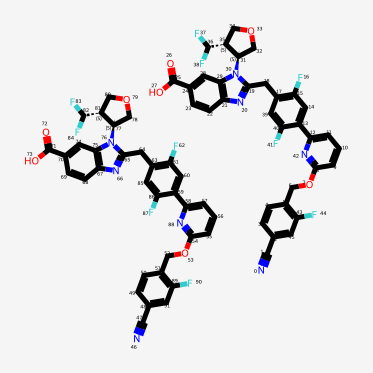 N#Cc1ccc(COc2cccc(-c3cc(F)c(Cc4nc5ccc(C(=O)O)cc5n4[C@@H]4COC[C@H]4C(F)F)cc3F)n2)c(F)c1.N#Cc1ccc(COc2cccc(-c3cc(F)c(Cc4nc5ccc(C(=O)O)cc5n4[C@@H]4COC[C@H]4C(F)F)cc3F)n2)c(F)c1